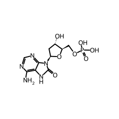 Nc1ncnc2c1[nH]c(=O)n2[C@H]1C[C@H](O)[C@@H](COP(=O)(O)O)O1